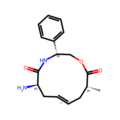 C[C@@H]1C/C=C/C[C@@H](N)C(=O)N[C@H](c2ccccc2)COC1=O